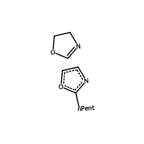 C1=NCCO1.CCCCCc1ncco1